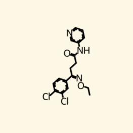 CCON=C(CCC(=O)Nc1cccnc1)c1ccc(Cl)c(Cl)c1